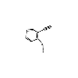 COc1ccc[c]c1C#N